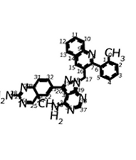 Cc1ccccc1-c1nc2ccccc2cc1Cn1nc(C2=CC3(C)C=NC(N)=NC3C=C2)c2c(N)ncnc21